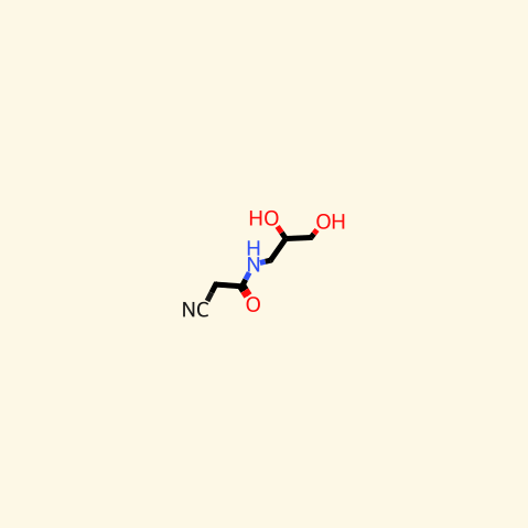 N#CCC(=O)NCC(O)CO